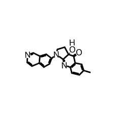 Cc1ccc2c(c1)C(=O)[C@]1(O)CCN(c3ccc4ccncc4c3)C1=N2